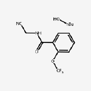 CCCCO.N#CCNC(=O)c1ccccc1OC(F)(F)F